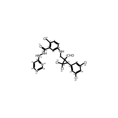 O=CC1(CNc2ccc(Cl)c(C(=O)NNc3ccncn3)c2)C(c2cc(Cl)cc(Cl)c2)C1(Cl)Cl